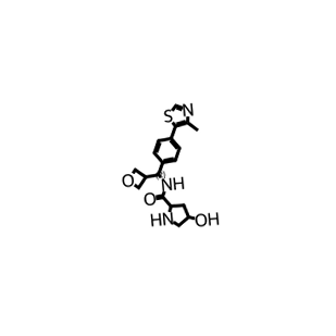 Cc1ncsc1-c1ccc([C@H](NC(=O)C2CC(O)CN2)C2COC2)cc1